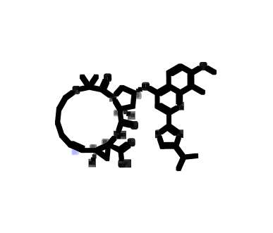 COc1ccc2c(O[C@@H]3C[C@H]4C(=O)N[C@]5(C(=O)O)C[C@H]5/C=C\CCCCOC(C)(C)C(=O)N4C3)cc(-c3nc(C(C)C)cs3)nc2c1C